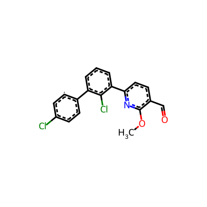 COc1nc(-c2cccc(-c3[c]cc(Cl)cc3)c2Cl)ccc1C=O